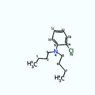 CCCCN(CCCC)c1ccccc1Cl